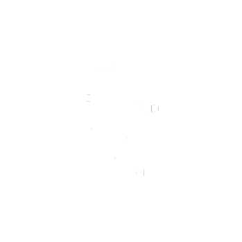 CCOC(=O)C(CC)(CO)C(=O)OCO